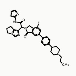 COCCN1CCC(c2ccc(-c3cc(F)c4c(c3)C(=O)N(C(C(=O)Nc3nccs3)c3ncn5c3CCC5)C4)cc2)CC1